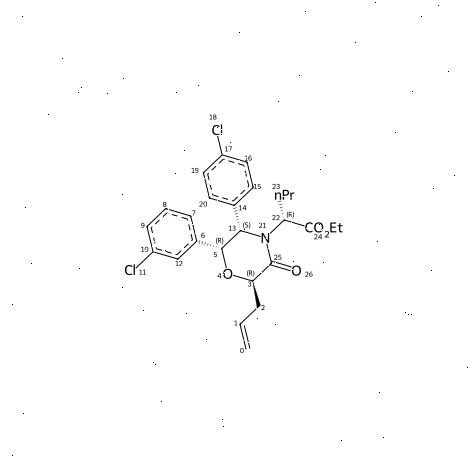 C=CC[C@H]1O[C@H](c2cccc(Cl)c2)[C@H](c2ccc(Cl)cc2)N([C@H](CCC)C(=O)OCC)C1=O